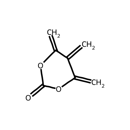 C=C1OC(=O)OC(=C)C1=C